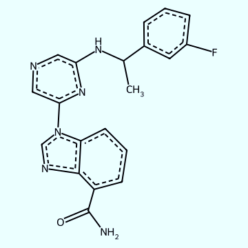 CC(Nc1cncc(-n2cnc3c(C(N)=O)cccc32)n1)c1cccc(F)c1